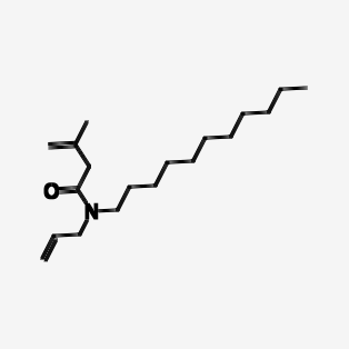 C=CCN(CCCCCCCCCCC)C(=O)CC(=C)C